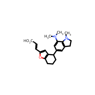 CN(C)c1cc(C2CCCc3oc(C=CC(=O)O)cc32)cc2c1N(C)CC2